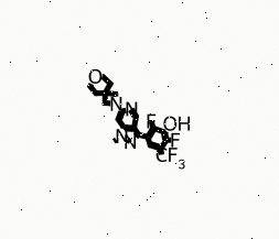 Cn1nc(-c2cc(C(F)(F)F)c(F)c(O)c2F)c2cnc(N3CC4(CCOCC4)C3)cc21